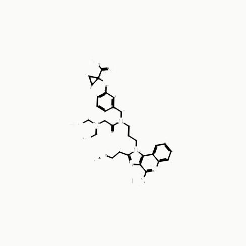 CCN(CC)CC(=O)N(CCCn1c(CCOC)nc2c(N)nc3ccccc3c21)Cc1cccc(OC2(C(=O)O)CC2)c1